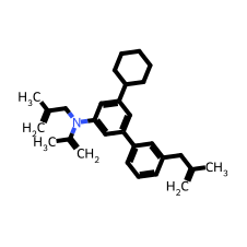 C=C(C)Cc1cccc(-c2cc(C3CCCCC3)cc(N(CC(=C)C)C(=C)C)c2)c1